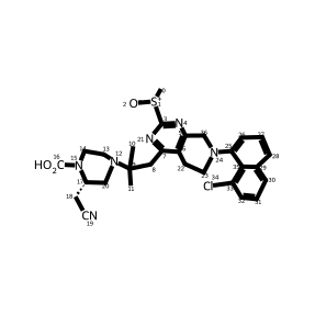 C[S+]([O-])c1nc2c(c(CC(C)(C)N3CCN(C(=O)O)[C@@H](CC#N)C3)n1)CCN(c1cccc3cccc(Cl)c13)C2